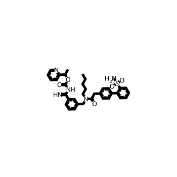 CCCCCN(Cc1cccc(C(=N)NC(=O)OC(C)c2ccccn2)c1)C(=O)Cc1ccc(-c2ccccc2S(N)(=O)=O)cc1